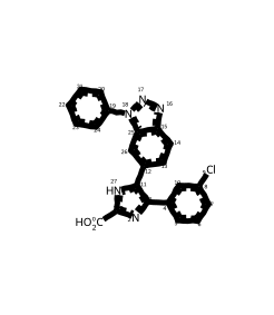 O=C(O)c1nc(-c2cccc(Cl)c2)c(-c2ccc3nnn(-c4ccccc4)c3c2)[nH]1